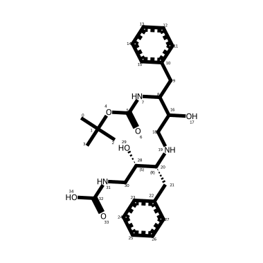 CC(C)(C)OC(=O)NC(Cc1ccccc1)C(O)CN[C@H](Cc1ccccc1)[C@@H](O)CNC(=O)O